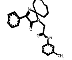 Cc1cccc(NC(=O)CN2C(=O)C(c3ccccc3)=NC23CCCCCC3)c1